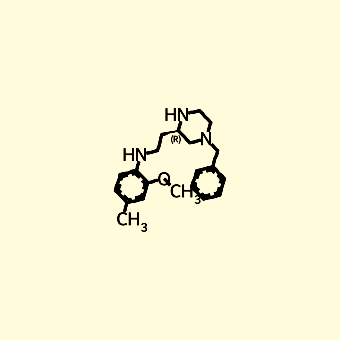 COc1cc(C)ccc1NCC[C@@H]1CN(Cc2ccccc2)CCN1